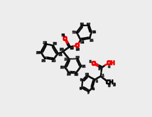 CC(C(=O)O)c1ccccc1.O=C(Oc1ccccc1)C(c1ccccc1)c1ccccc1